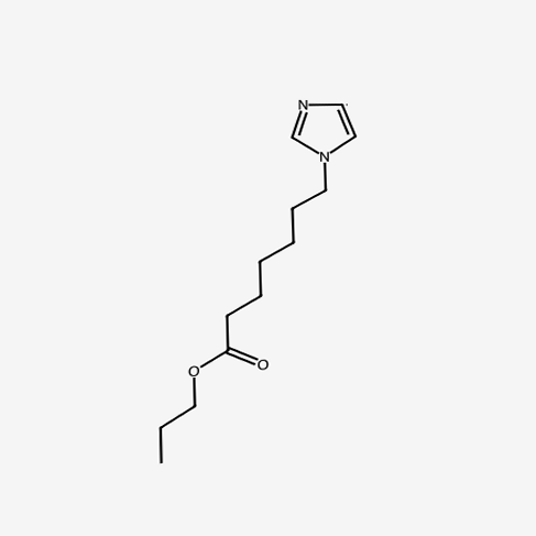 CCCOC(=O)CCCCCCn1c[c]nc1